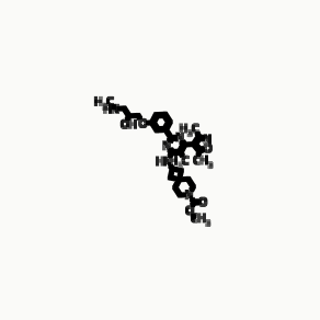 CNCC(O)COc1cccc(-c2nc(NC3CC4(CCN(C(=O)OC)CC4)C3)c(C)c(-c3c(C)noc3C)n2)c1